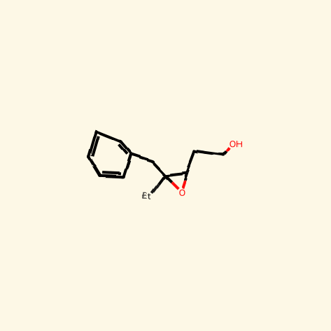 CCC1(Cc2ccccc2)OC1CCO